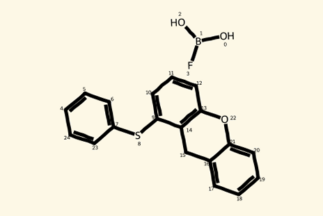 OB(O)F.c1ccc(Sc2cccc3c2Cc2ccccc2O3)cc1